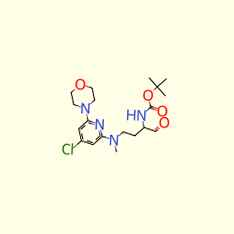 CN(CCC(C=O)NC(=O)OC(C)(C)C)c1cc(Cl)cc(N2CCOCC2)n1